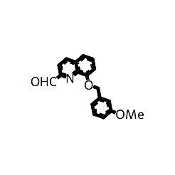 COc1cccc(COc2cccc3ccc(C=O)nc23)c1